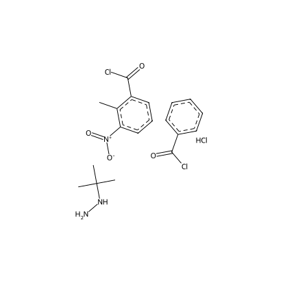 CC(C)(C)NN.Cc1c(C(=O)Cl)cccc1[N+](=O)[O-].Cl.O=C(Cl)c1ccccc1